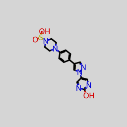 O=S(O)N1CCN(c2ccc(-c3cnn(-c4cnc(O)nc4)c3)cc2)CC1